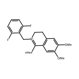 CCCCCCC1=[N+](Cc2c(F)cccc2F)CCc2cc(OC)c(OC)cc21